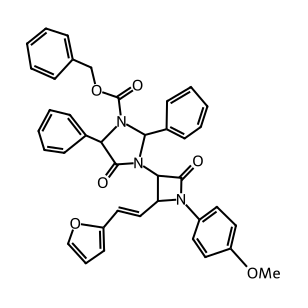 COc1ccc(N2C(=O)C(N3C(=O)C(c4ccccc4)N(C(=O)OCc4ccccc4)C3c3ccccc3)C2C=Cc2ccco2)cc1